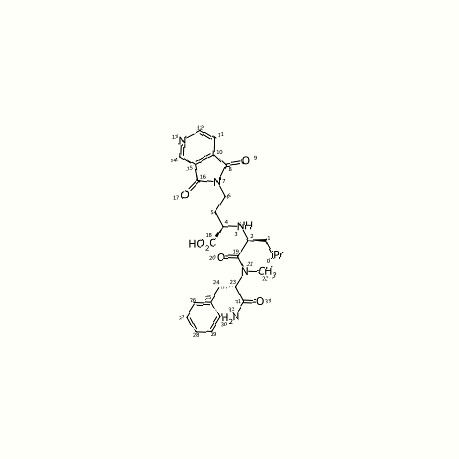 CC(C)C[C@H](N[C@H](CCN1C(=O)c2ccncc2C1=O)C(=O)O)C(=O)N(C)[C@@H](Cc1ccccc1)C(N)=O